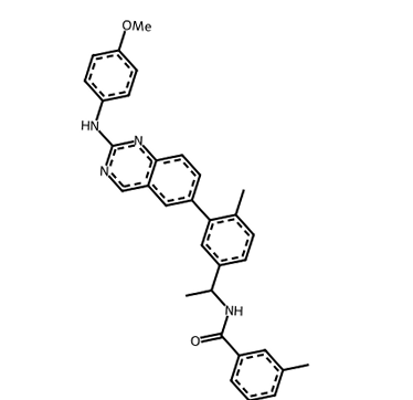 COc1ccc(Nc2ncc3cc(-c4cc(C(C)NC(=O)c5cccc(C)c5)ccc4C)ccc3n2)cc1